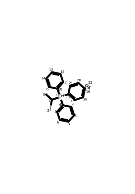 CC(I)[P+](c1ccccc1)(c1ccccc1)c1ccccc1.[Br-]